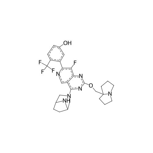 Oc1ccc(C(F)(F)F)c(-c2ncc3c(N4CC5CCC(C4)N5)nc(OCC45CCCN4CCC5)nc3c2F)c1